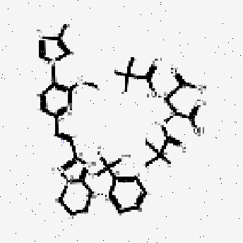 CC(C)(C)C(=O)O[C@H](C(=O)O)[C@H](OC(=O)C(C)(C)C)C(=O)O.COc1nc(/C=C/c2nc3n(n2)CCC[C@H]3c2ccccc2C(F)(F)F)ccc1-n1cnc(C)c1